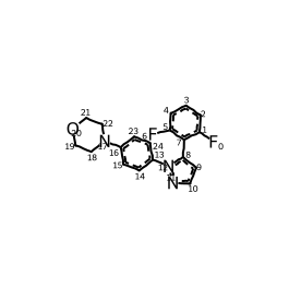 Fc1cccc(F)c1-c1ccnn1-c1ccc(N2CCOCC2)cc1